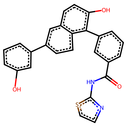 O=C(Nc1nccs1)c1cccc(-c2c(O)ccc3cc(-c4cccc(O)c4)ccc23)c1